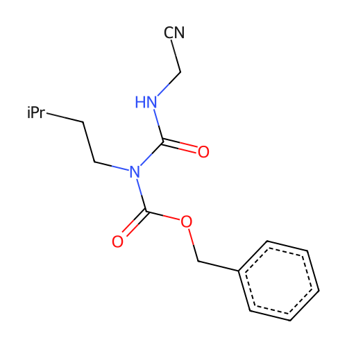 CC(C)CCN(C(=O)NCC#N)C(=O)OCc1ccccc1